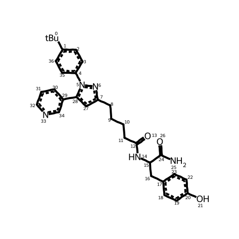 CC(C)(C)c1ccc(-n2nc(CCCCC(=O)NC(Cc3ccc(O)cc3)C(N)=O)cc2-c2cccnc2)cc1